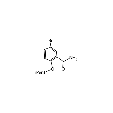 CCCC(C)Oc1ccc(Br)cc1C(N)=O